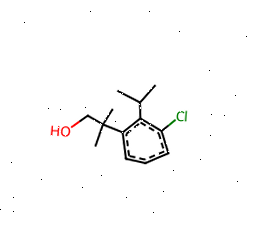 CC(C)c1c(Cl)cccc1C(C)(C)CO